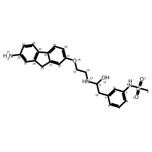 CS(=O)(=O)Nc1cccc(CC(O)NCCOc2ccc3c(c2)Cc2cc(N)ccc2-3)c1